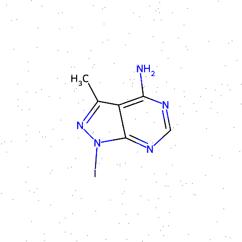 Cc1nn(I)c2ncnc(N)c12